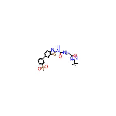 CC(C)(C)c1noc(CCNC(=O)Nc2nc3ccc(-c4cccc(S(C)(=O)=O)c4)cc3s2)n1